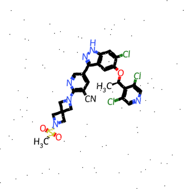 C[C@@H](Oc1cc2c(-c3cnc(N4CC5(C4)CN(S(C)(=O)=O)C5)c(C#N)c3)n[nH]c2cc1Cl)c1c(Cl)cncc1Cl